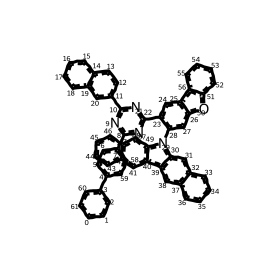 c1ccc(-c2ccc(-c3nc(-c4ccc5ccccc5c4)nc(-c4cc5c(cc4-n4c6cc7ccccc7cc6c6cc7ccccc7cc64)oc4ccccc45)n3)cc2)cc1